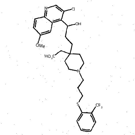 COc1ccc2ncc(Cl)c(C(O)CCC3(CC(=O)O)CCN(CCCSc4ccccc4C(F)(F)F)CC3)c2c1